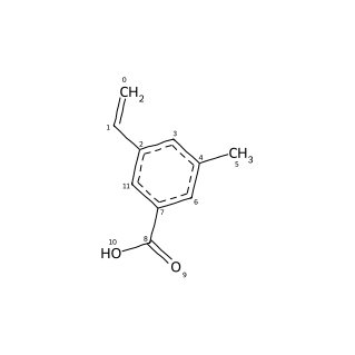 C=Cc1cc(C)cc(C(=O)O)c1